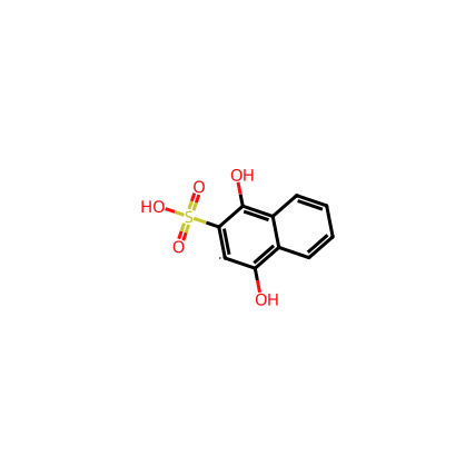 O=S(=O)(O)c1[c]c(O)c2ccccc2c1O